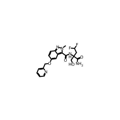 Cn1nc2ccc(OCc3ccccn3)cc2c1C(=O)NC(CO)(CC(F)F)C(N)=O